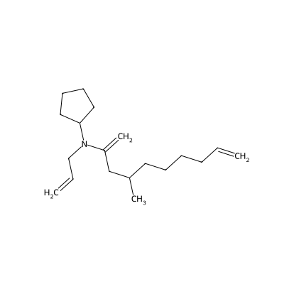 C=CCCCCC(C)CC(=C)N(CC=C)C1CCCC1